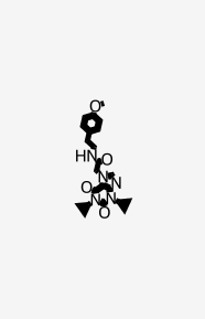 COc1ccc(CCNC(=O)Cn2cnc3c2c(=O)n(C2CC2)c(=O)n3C2CC2)cc1